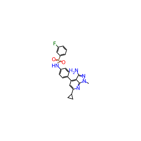 Cn1nc(N)c2c(-c3ccc(NS(=O)(=O)c4cccc(F)c4)cc3)cc(C3CC3)nc21